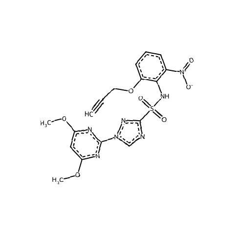 C#CCOc1cccc([N+](=O)[O-])c1NS(=O)(=O)c1ncn(-c2nc(OC)cc(OC)n2)n1